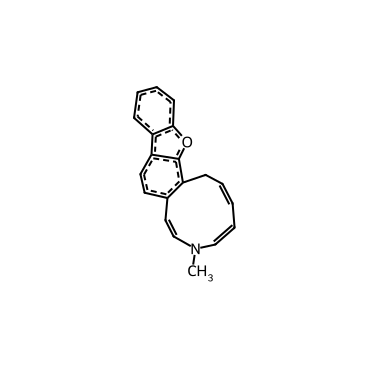 CN1/C=C\C=C/Cc2c(ccc3c2oc2ccccc23)/C=C\1